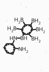 Bc1c(B)c(B)c(BNc2ccccc2N)c(B)c1B